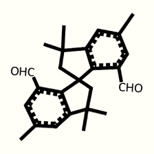 Cc1cc(C=O)c2c(c1)C(C)(C)CC21CC(C)(C)c2cc(C)cc(C=O)c21